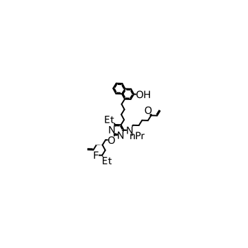 C=CC[C@H](COc1nc(CC)c(CCCCc2cc(O)cc3ccccc23)c(N(CCC)CCCCC(=O)C=C)n1)C[C@@H](F)CC